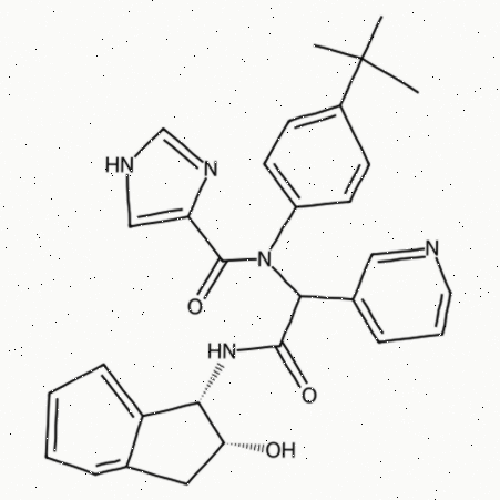 CC(C)(C)c1ccc(N(C(=O)c2c[nH]cn2)C(C(=O)N[C@H]2c3ccccc3C[C@H]2O)c2cccnc2)cc1